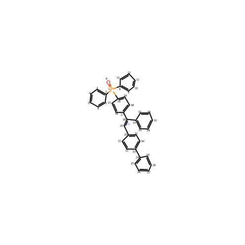 O=P(c1ccccc1)(c1ccccc1)c1ccc(/C(=C/c2ccc(-c3ccccc3)cc2)c2ccccc2)cc1